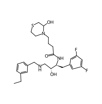 CCc1cccc(CNC[C@@H](O)[C@H](Cc2cc(F)cc(F)c2)NC(=O)CCCN2CCSCC2O)c1